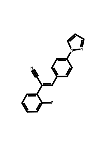 N#CC(=Cc1ccc(-n2cccn2)cc1)c1ccccc1F